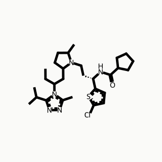 CCC(CC1CCC(C)N1CC[C@H](NC(=O)C1CCCC1)c1ccc(Cl)s1)n1c(C)nnc1C(C)C